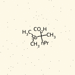 CCC[C](C)(C(=O)O)[Sb]([CH3])[CH3]